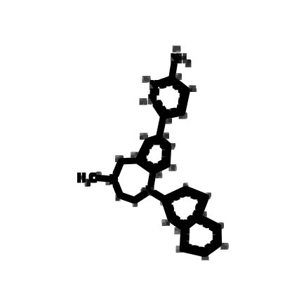 CN1CCN(c2ccc3ccccc3c2)c2ccc(-c3ccc(N)nn3)cc2C1